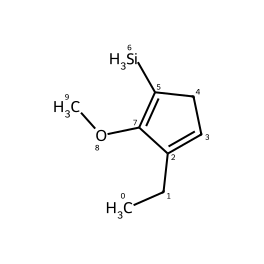 CCC1=CCC([SiH3])=C1OC